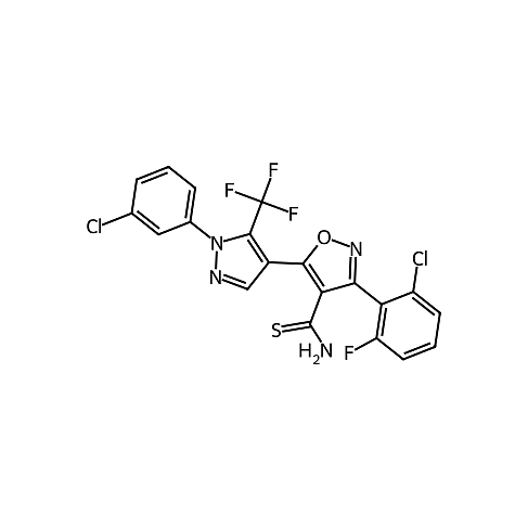 NC(=S)c1c(-c2c(F)cccc2Cl)noc1-c1cnn(-c2cccc(Cl)c2)c1C(F)(F)F